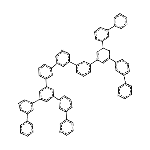 C1=C(c2cccc(-c3cncc(-c4cccc(-c5cc(-c6cccc(-c7cccnc7)c6)cc(-c6cccc(-c7cccnc7)c6)c5)c4)c3)c2)C=C(c2cccc(-c3cccnc3)c2)CC1c1cccc(-c2cccnc2)c1